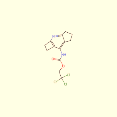 O=C(Nc1c2c(nc3c1CC3)CCC2)OCC(Cl)(Cl)Cl